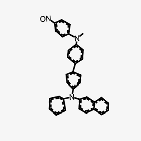 CN(c1ccc(N=O)cc1)c1ccc(-c2ccc(N(c3ccccc3)c3ccc4ccccc4c3)cc2)cc1